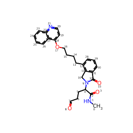 CNC(=O)C(CCC=O)N1Cc2c(CCCCOc3ccnc4ccccc34)cccc2C1=O